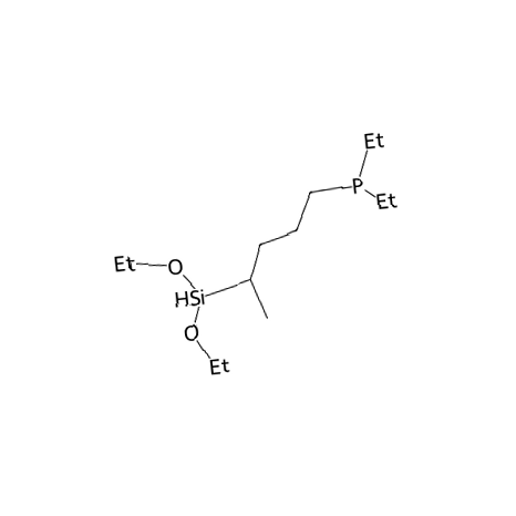 CCO[SiH](OCC)C(C)CCCP(CC)CC